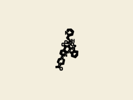 CC(=O)N1CCN(c2ccc3c(n2)N2c4ccccc4N(C)C2C(S(=O)(=O)NCc2ccccn2)C3=O)CC1